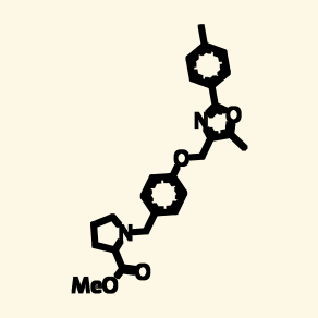 COC(=O)C1CCCN1Cc1ccc(OCc2nc(-c3ccc(C)cc3)oc2C)cc1